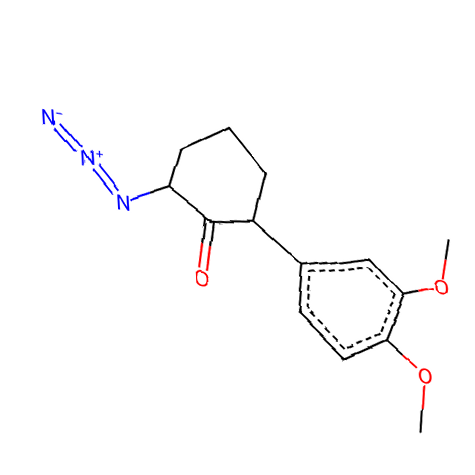 COc1ccc(C2CCCC(N=[N+]=[N-])C2=O)cc1OC